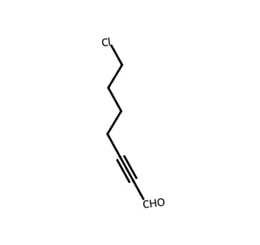 O=CC#CCCCCCl